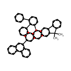 CC1(C)c2ccccc2-c2cc(N(c3ccc(-c4cc5ccccc5c5ccccc45)cc3)c3cccc(-c4ccccc4)c3-c3ccccc3-c3ccccc3)ccc21